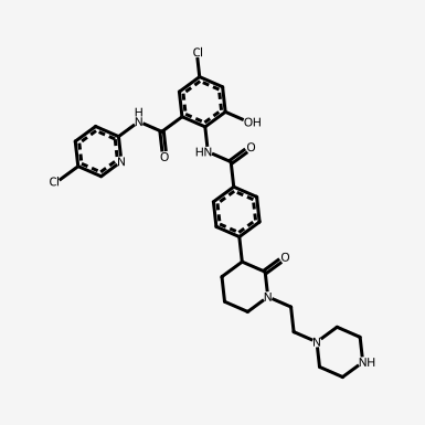 O=C(Nc1c(O)cc(Cl)cc1C(=O)Nc1ccc(Cl)cn1)c1ccc(C2CCCN(CCN3CCNCC3)C2=O)cc1